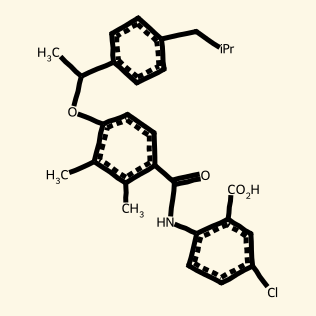 Cc1c(OC(C)c2ccc(CC(C)C)cc2)ccc(C(=O)Nc2ccc(Cl)cc2C(=O)O)c1C